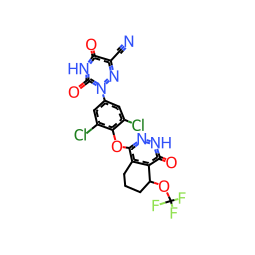 N#Cc1nn(-c2cc(Cl)c(Oc3n[nH]c(=O)c4c3CCCC4OC(F)(F)F)c(Cl)c2)c(=O)[nH]c1=O